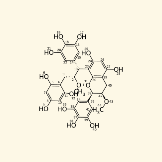 CO[C@H](Cc1c(O)cc(O)cc1O)[C@H](c1cc(O)c(O)c(O)c1)c1c(O)cc(O)c2c1O[C@H](c1cc(O)c(O)c(O)c1)[C@H](OC)C2